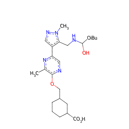 Cc1nc(-c2cnn(C)c2CNC(O)OCC(C)C)cnc1OCC1CCCC(C(=O)O)C1